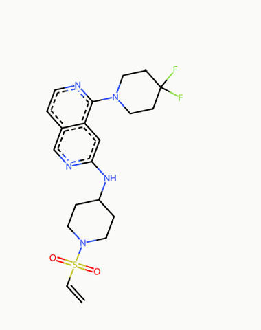 C=CS(=O)(=O)N1CCC(Nc2cc3c(N4CCC(F)(F)CC4)nccc3cn2)CC1